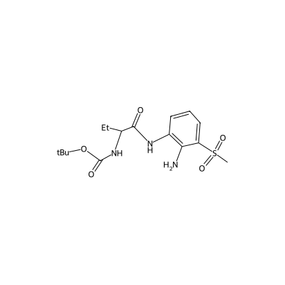 CCC(NC(=O)OC(C)(C)C)C(=O)Nc1cccc(S(C)(=O)=O)c1N